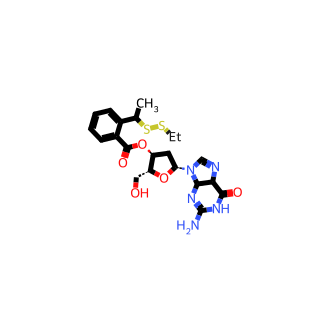 CCSSC(C)c1ccccc1C(=O)O[C@@H]1C[C@H](N2C=NC3C(=O)NC(N)=NC32)O[C@@H]1CO